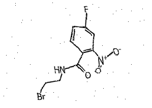 O=C(NCCBr)c1ccc(F)cc1[N+](=O)[O-]